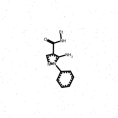 CCNC(=O)c1cnn(-c2ccccc2)c1N